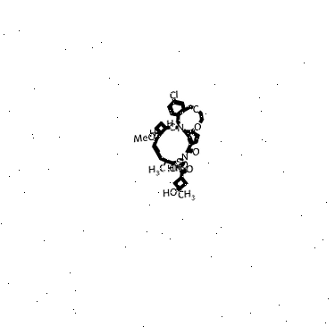 CO[C@H]1/C=C/C[C@H](C)[C@@H](C)S(=O)(NC(=O)C2CC(C)(O)C2)=NC(=O)c2ccc3c(c2)N(Cc2ccc(Cl)cc2CCCCO3)C[C@@H]2CC[C@H]21